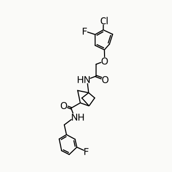 O=C(COc1ccc(Cl)c(F)c1)NC12CC(C1)C(C(=O)NCc1cccc(F)c1)C2